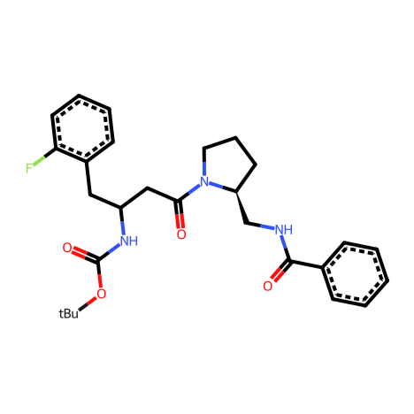 CC(C)(C)OC(=O)NC(CC(=O)N1CCC[C@H]1CNC(=O)c1ccccc1)Cc1ccccc1F